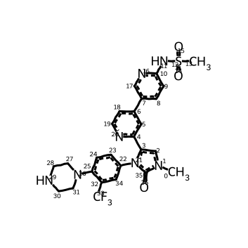 Cn1cc(-c2cc(-c3ccc(NS(C)(=O)=O)nc3)ccn2)n(-c2ccc(N3CCNCC3)c(C(F)(F)F)c2)c1=O